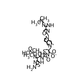 CN(C)/C=N/C(=N)c1coc(Cn2ccc3c[n+](CC4=C(C(=O)[O-])N5C(=O)[C@@H](NC(=O)/C(=N\OC(C)(C)C(=O)O)c6csc(N)n6)[C@H]5SC4)ccc32)n1